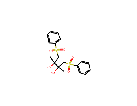 CC(O)(CS(=O)(=O)c1ccccc1)C(C)(O)CS(=O)(=O)c1ccccc1